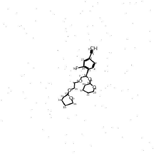 C#Cc1ccc(C(COCCOC2CCCCO2)OC2CCCCO2)c(F)c1